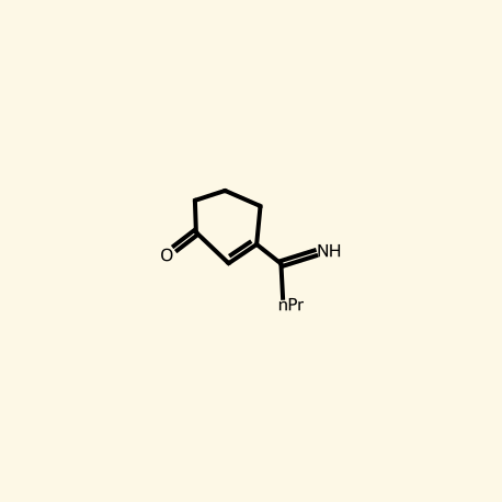 CCCC(=N)C1=CC(=O)CCC1